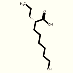 CCC[C@@H](CCCCCCO)C(=O)O